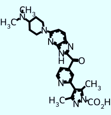 Cc1nn(C(=O)O)c(C)c1-c1cc(C(=O)c2nc3ccc(N4CCC(N(C)C)CC4)nc3[nH]2)ccn1